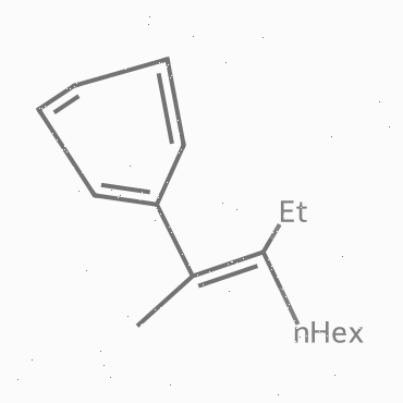 CCCCCCC(CC)=C(C)c1ccccc1